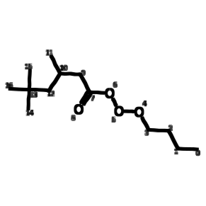 CCCCOOOC(=O)CC(C)CC(C)(C)C